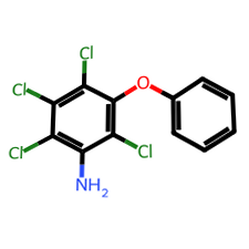 Nc1c(Cl)c(Cl)c(Cl)c(Oc2ccccc2)c1Cl